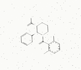 Cc1cccc(F)c1C(=O)N1CCC[C@H](C(=O)O)[C@@H]1C1C=CC=CC1